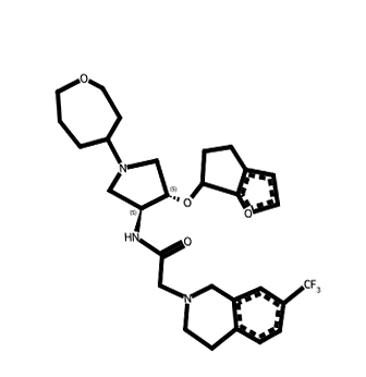 O=C(CN1CCc2ccc(C(F)(F)F)cc2C1)N[C@H]1CN(C2CCCOCC2)C[C@@H]1OC1CCc2ccoc21